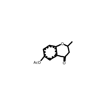 CC(=O)Oc1ccc2c(c1)C(=O)CC(C)O2